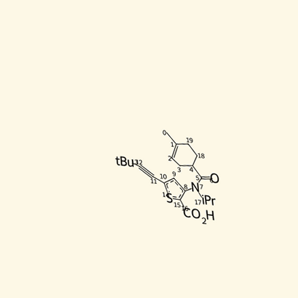 CC1=CCC(C(=O)N(c2cc(C#CC(C)(C)C)sc2C(=O)O)C(C)C)CC1